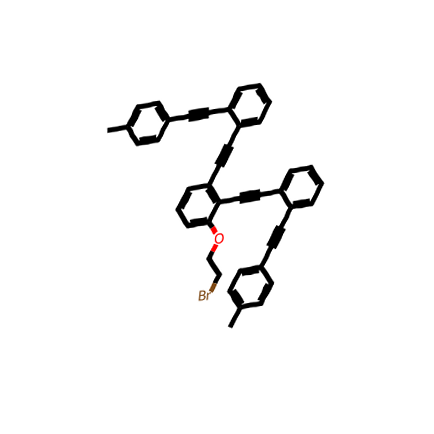 Cc1ccc(C#Cc2ccccc2C#Cc2cccc(OCCBr)c2C#Cc2ccccc2C#Cc2ccc(C)cc2)cc1